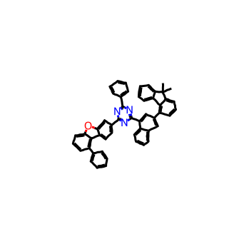 CC1(C)c2ccccc2-c2c(-c3cc(-c4nc(-c5ccccc5)nc(-c5ccc6c(c5)oc5cccc(-c7ccccc7)c56)n4)c4ccccc4c3)cccc21